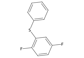 Fc1ccc(F)c(Sc2ccccc2)c1